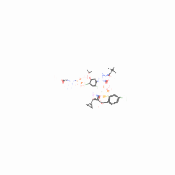 CC(C)Oc1cc(-n2nc(C(C)(C)C)oc2=O)c(Cl)cc1Cl.CS(=O)(=O)c1cc(Cl)ccc1C(=O)c1cnoc1C1CC1.O=C(O)CNCP(=O)(O)O